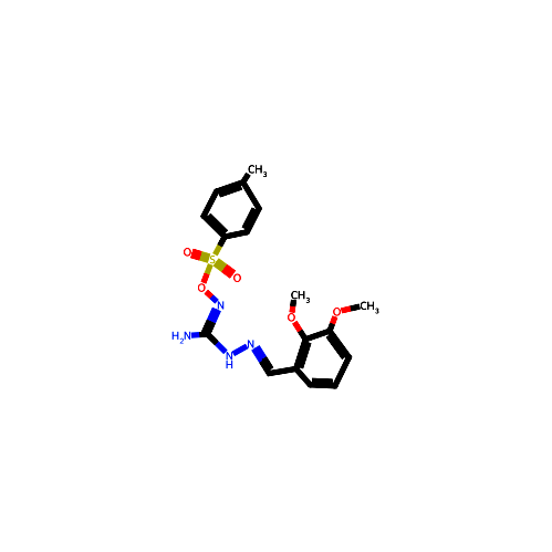 COc1cccc(C=NNC(N)=NOS(=O)(=O)c2ccc(C)cc2)c1OC